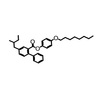 CCCCCCCCOc1ccc(OC(=O)c2cc(CC(C)CC)ccc2-c2ccccc2)cc1